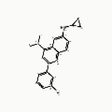 CN(C)c1cc(-c2cccc(Cl)c2)nc2ccc(NC3CC3)cc12